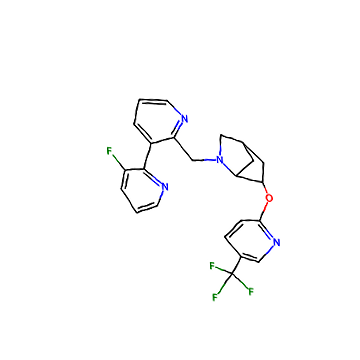 Fc1cccnc1-c1cccnc1CN1CC2CC(Oc3ccc(C(F)(F)F)cn3)C1C2